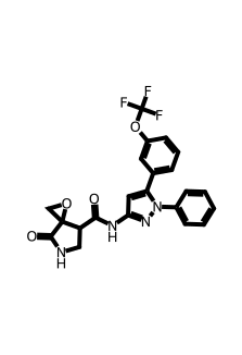 O=C(Nc1cc(-c2cccc(OC(F)(F)F)c2)n(-c2ccccc2)n1)C1CNC(=O)C12CO2